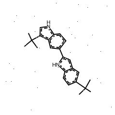 CC(C)(C)c1ccc2[nH]c(-c3ccc4[nH]cc(C(C)(C)C)c4c3)cc2c1